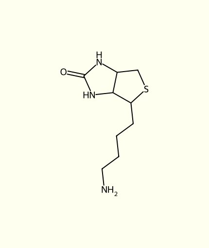 NCCCCC1SCC2NC(=O)NC21